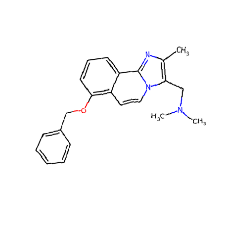 Cc1nc2c3cccc(OCc4ccccc4)c3ccn2c1CN(C)C